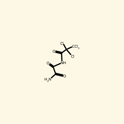 NC(=O)C(=O)NC(=O)C(Cl)(Cl)C(Cl)(Cl)Cl